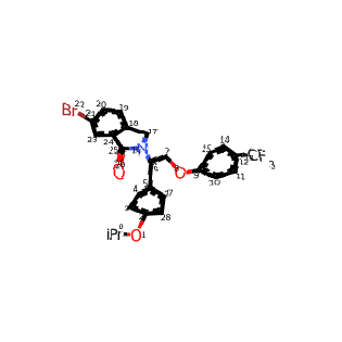 CC(C)Oc1ccc(C(COc2ccc(C(F)(F)F)cc2)N2Cc3ccc(Br)cc3C2=O)cc1